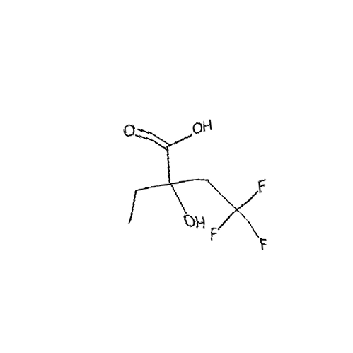 CCC(O)(CC(F)(F)F)C(=O)O